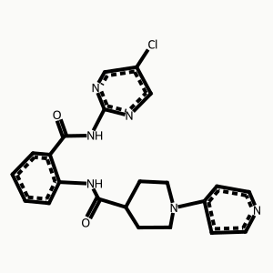 O=C(Nc1ncc(Cl)cn1)c1ccccc1NC(=O)C1CCN(c2ccncc2)CC1